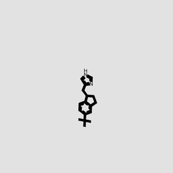 CC(C)(C)c1ccc2c(c1)CCC2Cc1c[nH]cn1